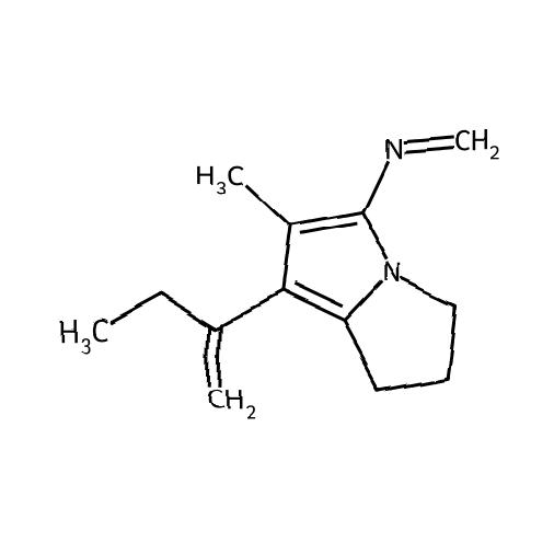 C=Nc1c(C)c(C(=C)CC)c2n1CCC2